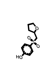 O=S(=O)(CC1CCCO1)c1ccc(O)cc1